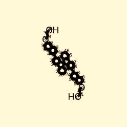 OCCOc1ccc2cc(-c3ccc4c(c3)C3(C5=CC=CCC5c5ccc(-c6ccc7cc(OCCO)ccc7c6)cc53)C3=C4C=CCC3)ccc2c1